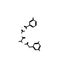 CCC(NC(=O)Cc1cc(F)cc(F)c1)C(=O)Nc1nnc(-c2cccc(Cl)c2)s1